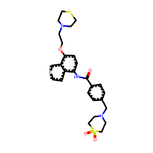 O=C(Nc1ccc(OCCN2CCSCC2)c2ccccc12)c1ccc(CN2CCS(=O)(=O)CC2)cc1